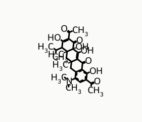 CC(=O)C1=C(O)C(C(C)C)[C@@]2(C)C[C@@]3(C)Cc4c(N(C)C)cc(C(C)=O)c(O)c4C(=O)C3=C(O)[C@@]2(O)C1=O